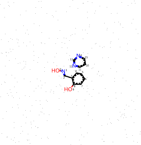 ON=Cc1ccccc1O.c1cncnc1